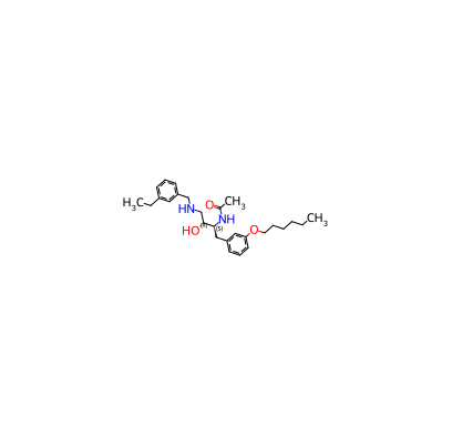 CCCCCCOc1cccc(C[C@H](NC(C)=O)[C@H](O)CNCc2cccc(CC)c2)c1